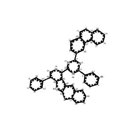 c1ccc(-c2nc(-c3ccc4ccc5ccccc5c4c3)nc(-c3ncc(-c4ccccc4)c4oc5cc6ccccc6cc5c34)n2)cc1